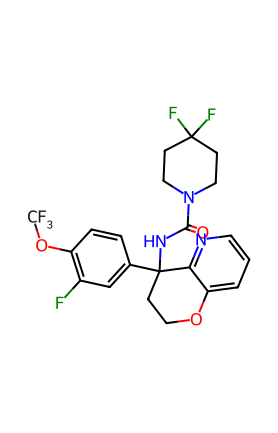 O=C(NC1(c2ccc(OC(F)(F)F)c(F)c2)CCOc2cccnc21)N1CCC(F)(F)CC1